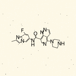 Cc1cn2cc(NC(=O)c3cnc(N4CCNCC4)c4ccnnc34)cc(F)c2n1